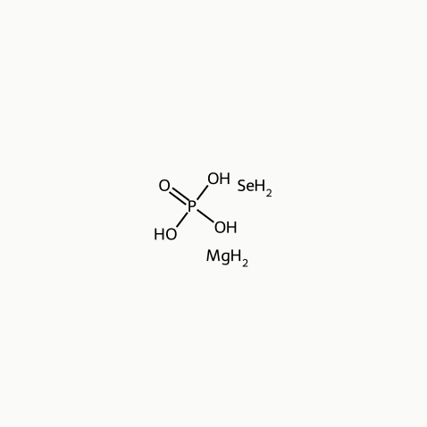 O=P(O)(O)O.[MgH2].[SeH2]